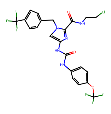 O=C(Nc1ccc(OC(F)(F)F)cc1)Nc1cn(Cc2ccc(C(F)(F)F)cc2)c(C(=O)NCCCl)n1